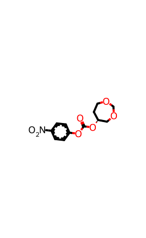 O=C(Oc1ccc([N+](=O)[O-])cc1)O[C@@H]1CCOCOC1